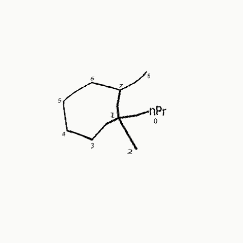 [CH2]CCC1(C)CCCCC1C